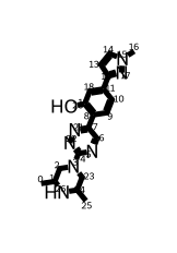 CC1CN(c2ncc(-c3ccc(-c4ccn(C)n4)cc3O)nn2)CC(C)N1